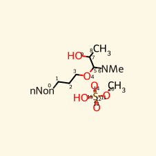 CCCCCCCCCCCCOC(NC)C(C)O.COS(=O)(=O)O